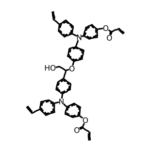 C=CC(=O)Oc1ccc(N(c2ccc(C=C)cc2)c2ccc(OC(CO)c3ccc(N(c4ccc(C=C)cc4)c4ccc(OC(=O)C=C)cc4)cc3)cc2)cc1